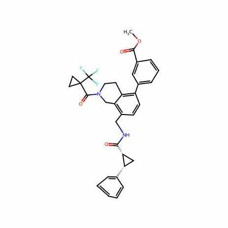 COC(=O)c1cccc(-c2ccc(CNC(=O)[C@@H]3C[C@@H]3c3ccccc3)c3c2CCN(C(=O)C2(C(F)(F)F)CC2)C3)c1